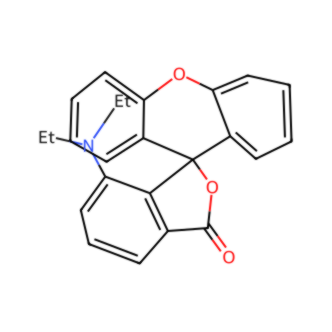 CCN(CC)c1cccc2c1C1(OC2=O)c2ccccc2Oc2ccccc21